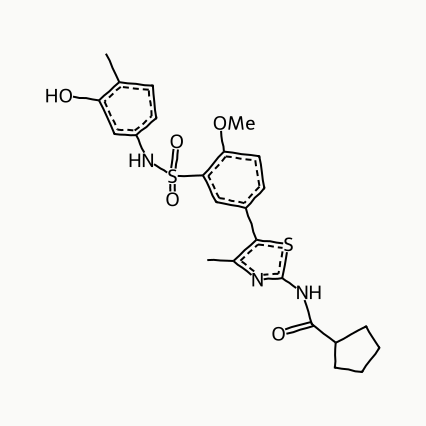 COc1ccc(-c2sc(NC(=O)C3CCCC3)nc2C)cc1S(=O)(=O)Nc1ccc(C)c(O)c1